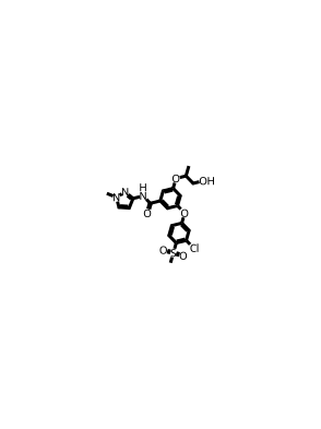 CC(CO)Oc1cc(Oc2ccc(S(C)(=O)=O)c(Cl)c2)cc(C(=O)Nc2ccn(C)n2)c1